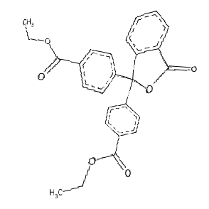 CCOC(=O)c1ccc(C2(c3ccc(C(=O)OCC)cc3)OC(=O)c3ccccc32)cc1